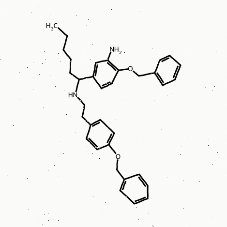 CCCCCC(NCCc1ccc(OCc2ccccc2)cc1)c1ccc(OCc2ccccc2)c(N)c1